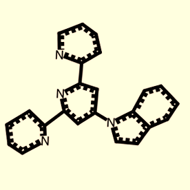 c1ccc(-c2cc(-n3ccc4ccccc43)cc(-c3ccccn3)n2)nc1